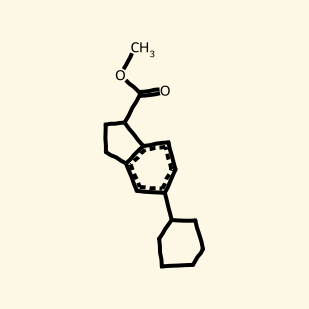 COC(=O)C1CCc2cc(C3CCCCC3)ccc21